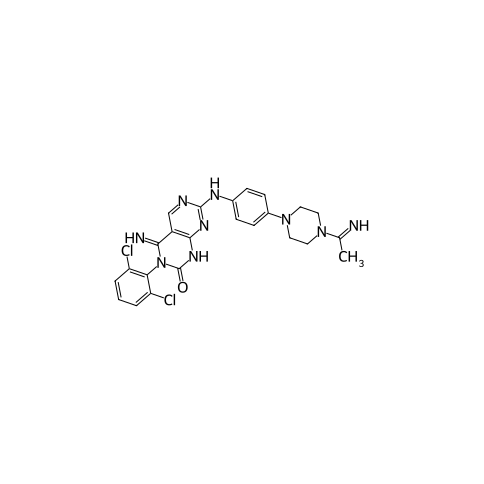 CC(=N)N1CCN(c2ccc(Nc3ncc4c(=N)n(-c5c(Cl)cccc5Cl)c(=O)[nH]c4n3)cc2)CC1